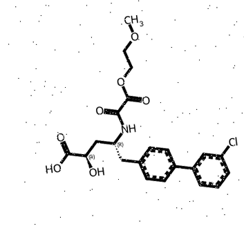 COCCOC(=O)C(=O)N[C@H](Cc1ccc(-c2cccc(Cl)c2)cc1)C[C@@H](O)C(=O)O